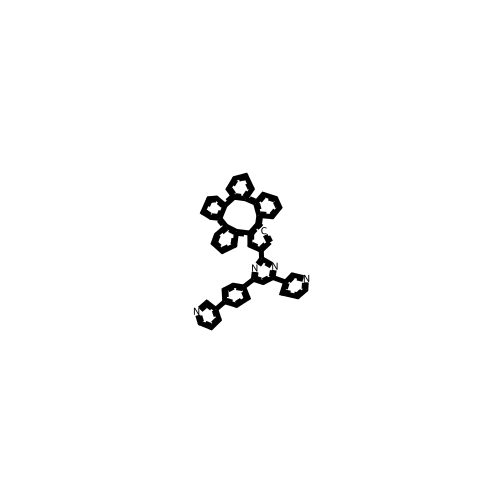 c1cncc(-c2ccc(-c3cc(-c4cccnc4)nc(-c4ccc5c6ccccc6c6ccccc6c6ccccc6c6ccccc6c5c4)n3)cc2)c1